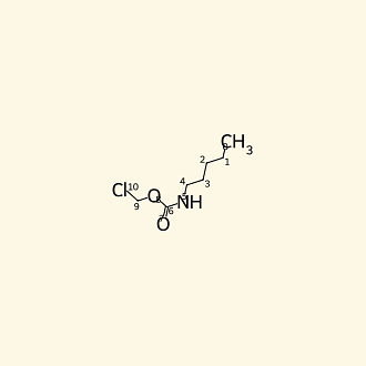 CCCCCNC(=O)OCCl